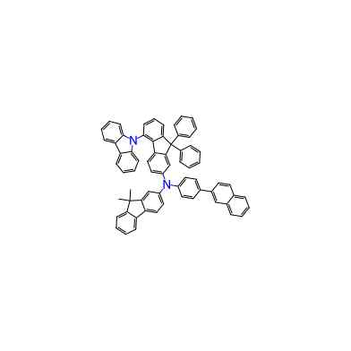 CC1(C)c2ccccc2-c2ccc(N(c3ccc(-c4ccc5ccccc5c4)cc3)c3ccc4c(c3)C(c3ccccc3)(c3ccccc3)c3cccc(-n5c6ccccc6c6ccccc65)c3-4)cc21